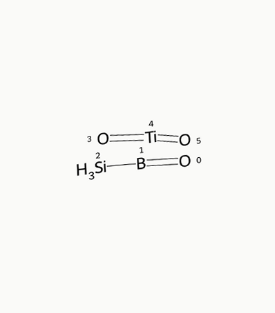 O=B[SiH3].[O]=[Ti]=[O]